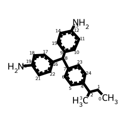 CCC(C)c1ccc(C(c2ccc(N)cc2)c2ccc(N)cc2)cc1